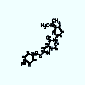 CN(C)c1cccc(N2CCn3nc(COc4ccc(F)cc4)cc3C2=O)n1